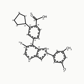 Cc1cc(Cl)cc(-n2cc3ncc(F)c(-c4ccc(C(=O)O)c(C5CCCC5)c4)c3n2)c1